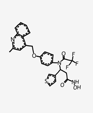 Cc1cc(COc2ccc(N(C(=O)C(F)(F)F)C(CC(=O)NO)c3ccsc3)cc2)c2ccccc2n1